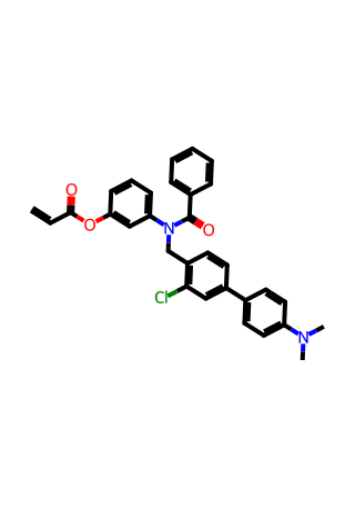 C=CC(=O)Oc1cccc(N(Cc2ccc(-c3ccc(N(C)C)cc3)cc2Cl)C(=O)c2ccccc2)c1